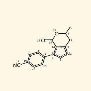 CC1Cc2ncn(-c3ccc(C#N)cc3)c2C(=O)O1